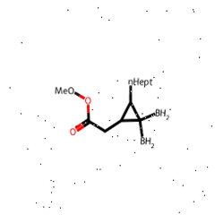 BC1(B)C(CCCCCCC)C1CC(=O)OOC